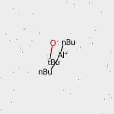 CC(C)(C)[O-].CCC[CH2][Al+][CH2]CCC